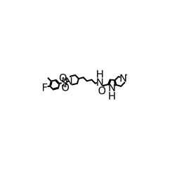 Cc1cc(S(=O)(=O)N2CCC(CCCCNC(=O)c3cc4c([nH]3)CCN(C)C4)CC2)ccc1F